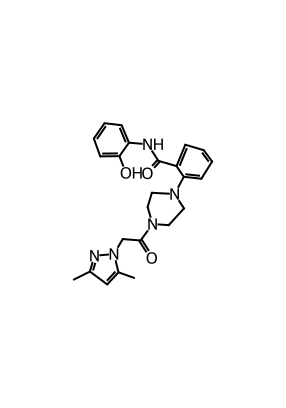 Cc1cc(C)n(CC(=O)N2CCN(c3ccccc3C(=O)Nc3ccccc3O)CC2)n1